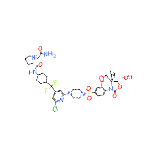 C[N@@+]1(CC(N)=O)CCC[C@H]1C(=O)NC1CCC(C(F)(F)c2cc(Cl)nc(N3CCN(S(=O)(=O)c4ccc5c(c4)OC[C@@H]4[C@H](CO)OC(=O)N54)CC3)c2)CC1